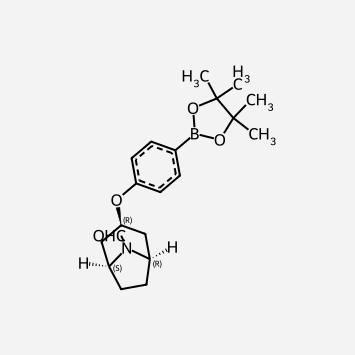 CC1(C)OB(c2ccc(O[C@H]3C[C@H]4CC[C@@H](C3)N4C=O)cc2)OC1(C)C